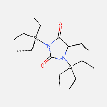 CCC1C(=O)N([Si](CC)(CC)CC)C(=O)N1[Si](CC)(CC)CC